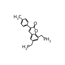 Cc1ccc(-c2cc3cc(CP)cc(CP)c3oc2=O)cc1